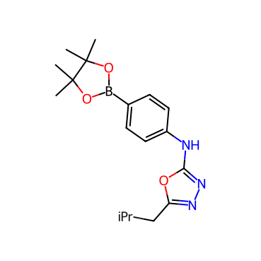 CC(C)Cc1nnc(Nc2ccc(B3OC(C)(C)C(C)(C)O3)cc2)o1